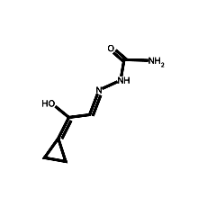 NC(=O)N/N=C/C(O)=C1CC1